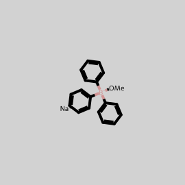 CO[B-](c1ccccc1)(c1ccccc1)c1ccccc1.[Na+]